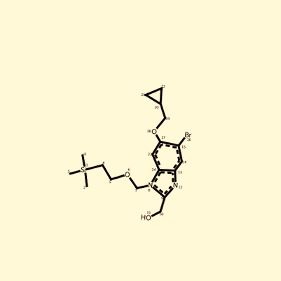 C[Si](C)(C)CCOCn1c(CO)nc2cc(Br)c(OCC3CC3)cc21